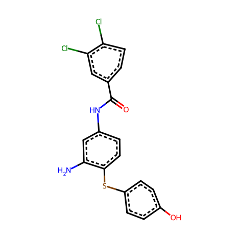 Nc1cc(NC(=O)c2ccc(Cl)c(Cl)c2)ccc1Sc1ccc(O)cc1